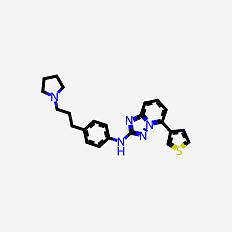 c1cc(-c2ccsc2)n2nc(Nc3ccc(CCCN4CCCC4)cc3)nc2c1